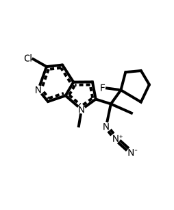 Cn1c(C(C)(N=[N+]=[N-])C2(F)CCCC2)cc2cc(Cl)ncc21